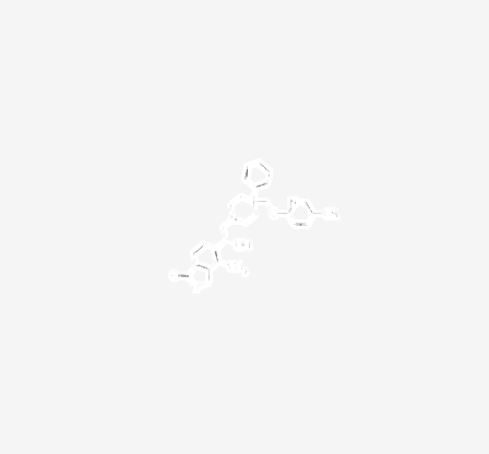 Cc1c([C@@H](O)CN2CCC(COc3ccc(C#N)cn3)(c3ccccc3)CC2)ccc2c1COC2=O